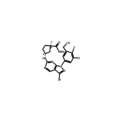 CNC(=O)[C@]1(C)CC[C@@H](Nc2ncc3c(Br)nn(-c4cc(Cl)c(F)c(CC#N)c4)c3n2)C1